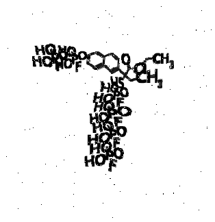 CCOC(=O)C(S)(CC)c1ccc2ccccc2c1.O=P(O)(O)F.O=P(O)(O)F.O=P(O)(O)F.O=P(O)(O)F.O=P(O)(O)F.O=P(O)(O)F